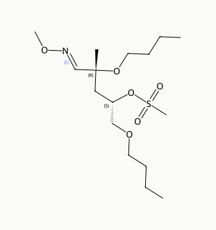 CCCCOC[C@H](C[C@](C)(/C=N/OC)OCCCC)OS(C)(=O)=O